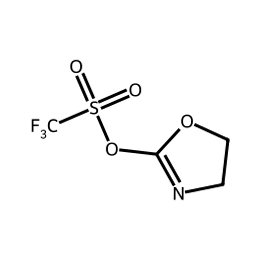 O=S(=O)(OC1=NCCO1)C(F)(F)F